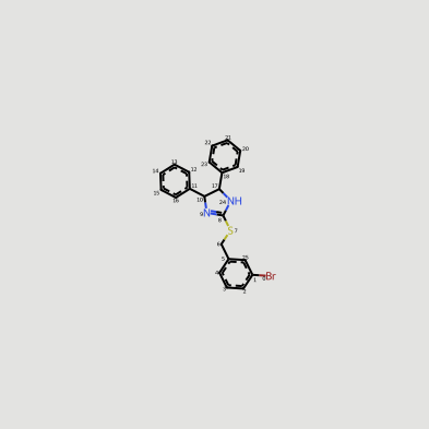 Brc1cccc(CSC2=NC(c3ccccc3)C(c3ccccc3)N2)c1